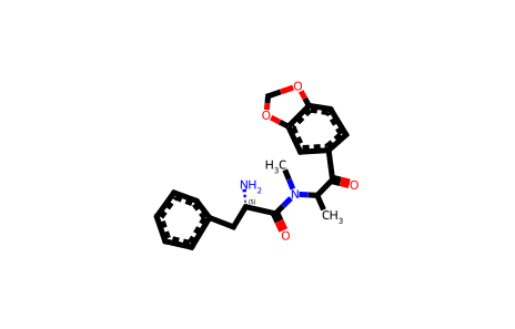 CC(C(=O)c1ccc2c(c1)OCO2)N(C)C(=O)[C@@H](N)Cc1ccccc1